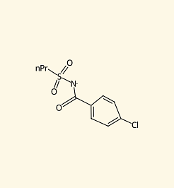 CCCS(=O)(=O)[N]C(=O)c1ccc(Cl)cc1